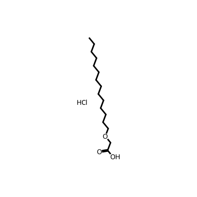 CCCCCCCCCCCCCCOCC(=O)O.Cl